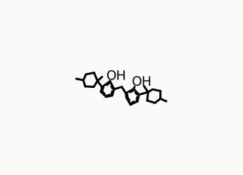 CC1CCC(C)(c2cccc(Cc3cccc(C4(C)CCC(C)CC4)c3O)c2O)CC1